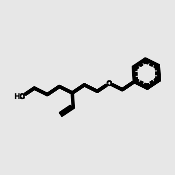 C=CC(CCCO)CCOCc1ccccc1